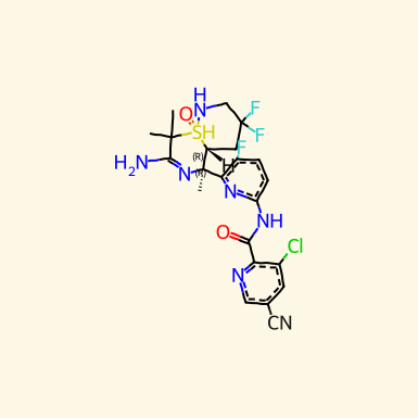 CC1(C)C(N)=N[C@](C)(c2nc(NC(=O)c3ncc(C#N)cc3Cl)ccc2F)[C@H]2CC(F)(F)CN[SH]21=O